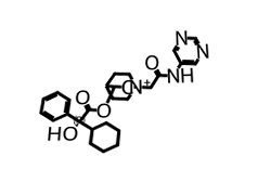 O=C(C[N+]12CCC(CC1)C(OC(=O)[C@](O)(c1ccccc1)C1CCCCC1)C2)Nc1cncnc1